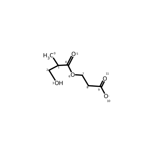 CC(CO)C(=O)OCCC([O])=O